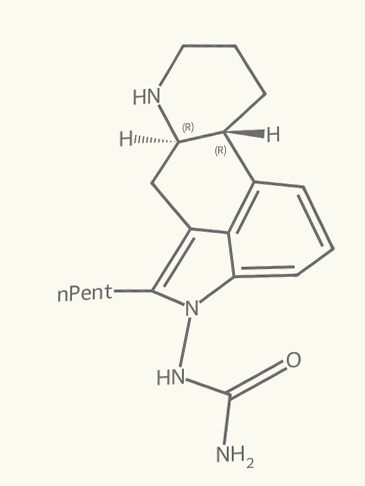 CCCCCc1c2c3c(cccc3n1NC(N)=O)[C@H]1CCCN[C@@H]1C2